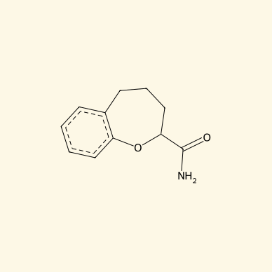 NC(=O)C1CCCc2ccccc2O1